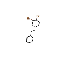 BrC1CCC(CCC2C=CCCC2)CC1Br